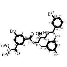 CCCN(CCC)C(=O)c1cc(Br)cc(C(=O)N[C@@H](Cc2cc(F)cc(F)c2)[C@H](O)CNCc2cccc(Br)c2)c1